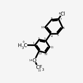 Cc1cc(-c2ccc(Cl)cc2)ccc1OC(F)(F)F